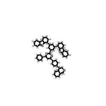 c1ccc(-c2cc(-c3ccc(-c4cncc5ccccc45)cc3)nc(-c3cc(-c4cccc5c4sc4ccccc45)cc(-c4cccc5c4sc4ccccc45)c3)n2)cc1